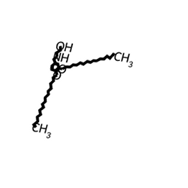 CCCCCCCCCCCCCCCCOc1ccc(CNCCO)cc1OCCCCCCCCCCCCCCCC